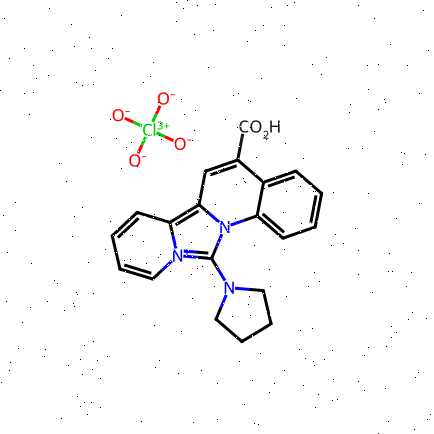 O=C(O)c1cc2c3cccc[n+]3c(N3CCCC3)n2c2ccccc12.[O-][Cl+3]([O-])([O-])[O-]